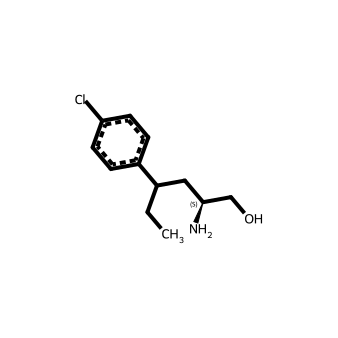 CCC(C[C@H](N)CO)c1ccc(Cl)cc1